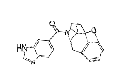 CC1(C)C2Cc3cccc4c3C1(CCN2C(=O)c1ccc2nc[nH]c2c1)O4